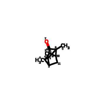 CC1(C)C2CC3C(=O)C1(C)C3C2